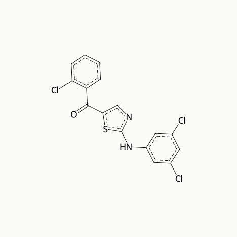 O=C(c1cnc(Nc2cc(Cl)cc(Cl)c2)s1)c1ccccc1Cl